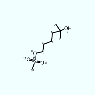 CC(C)(O)CCCCOS(C)(=O)=O